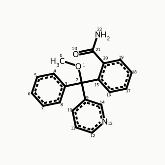 COC(c1ccccc1)(c1cccnc1)c1ccccc1C(N)=O